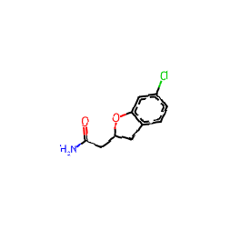 NC(=O)CC1Cc2ccc(Cl)cc2O1